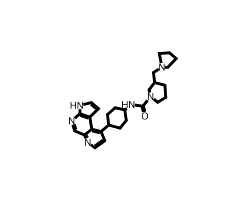 O=C(NC1CCC(c2ccnc3cnc4[nH]ccc4c23)CC1)N1CCCC(CN2CCCC2)C1